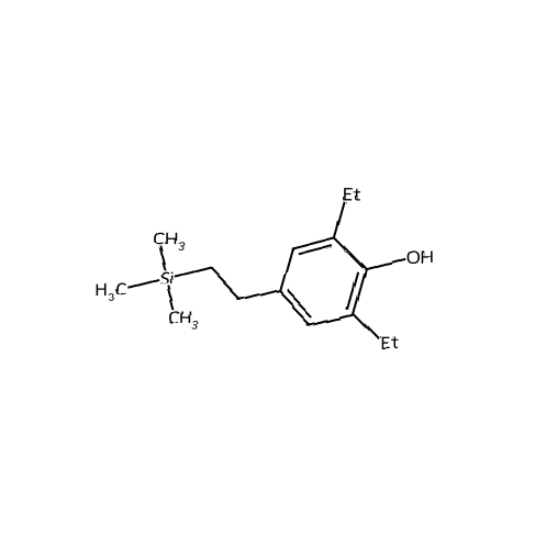 CCc1cc(CC[Si](C)(C)C)cc(CC)c1O